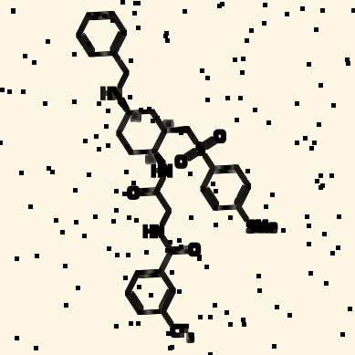 CSc1ccc(S(=O)(=O)C[C@@H]2C[C@H](NCc3ccccc3)CC[C@@H]2NC(=O)CNC(=O)c2cccc(C(F)(F)F)c2)cc1